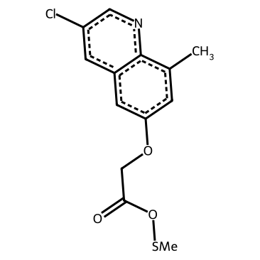 CSOC(=O)COc1cc(C)c2ncc(Cl)cc2c1